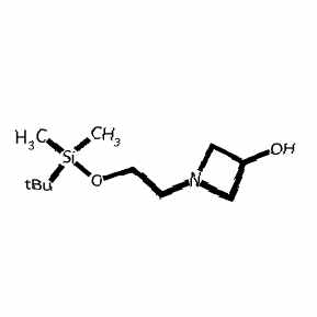 CC(C)(C)[Si](C)(C)OCCN1CC(O)C1